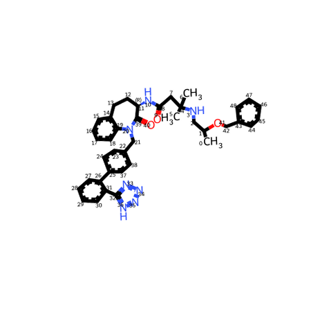 CC(CNC(C)(C)CC(=O)N[C@@H]1CCc2ccccc2N(Cc2ccc(-c3ccccc3-c3nnn[nH]3)cc2)C1=O)OCc1ccccc1